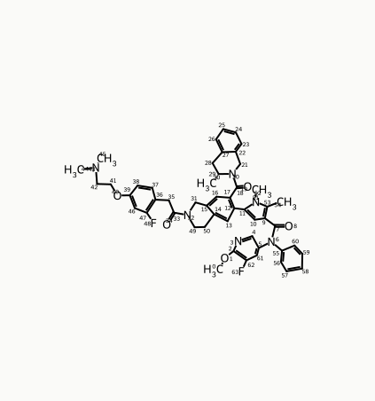 COc1ncc(N(C(=O)c2cc(-c3cc4c(cc3C(=O)N3Cc5ccccc5C[C@H]3C)CN(C(=O)Cc3ccc(OCCN(C)C)cc3F)CC4)n(C)c2C)c2ccccc2)cc1F